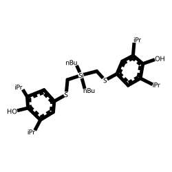 CCCC[Si](CCCC)(CSc1cc(C(C)C)c(O)c(C(C)C)c1)CSc1cc(C(C)C)c(O)c(C(C)C)c1